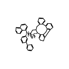 CCC(CC1Cc2ccccc2-c2cccc3c2CC2=C3CCC=C2C1C)N(c1cccc(-c2ccccc2)c1)c1cccc2ccccc12